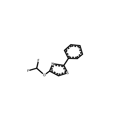 FC(F)Oc1csc(-c2ccccc2)n1